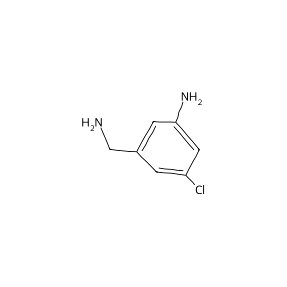 NCc1cc(N)cc(Cl)c1